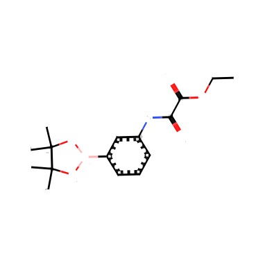 CCOC(=O)C(=O)Nc1cccc(B2OC(C)(C)C(C)(C)O2)c1